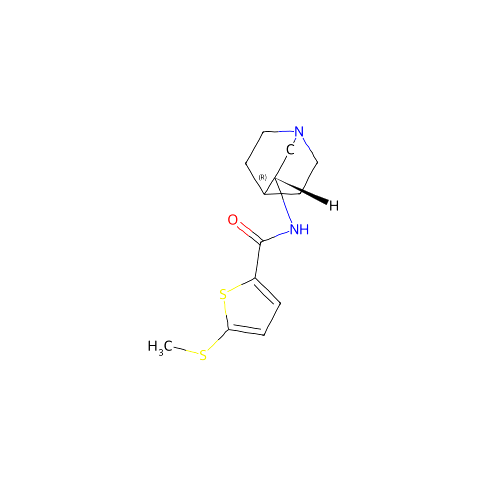 CSc1ccc(C(=O)N[C@H]2CN3CCC2CC3)s1